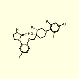 O=C1NCCN1c1cc(F)ccc1OC[C@]1(O)CCN(c2c(F)cc(Cl)cc2F)C[C@H]1O